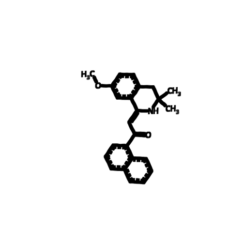 COc1ccc2c(c1)C(=CC(=O)c1cccc3ccccc13)NC(C)(C)C2